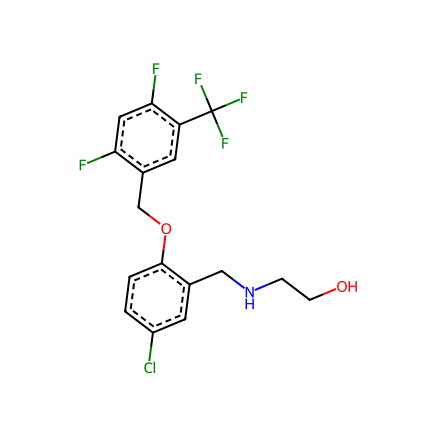 OCCNCc1cc(Cl)ccc1OCc1cc(C(F)(F)F)c(F)cc1F